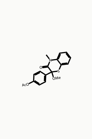 COC1(c2ccc(OC(C)=O)cc2)Sc2ccccc2N(C)C1=O